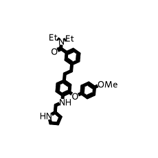 CCN(CC)C(=O)c1cccc(CCc2ccc(NCC3CCCN3)c(Oc3ccc(OC)cc3)c2)c1